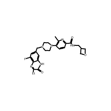 CCc1nc2c(F)cc(CN3CCN(c4ccc(C(=O)NCC5COC5)nc4C)CC3)cc2[nH]c1=O